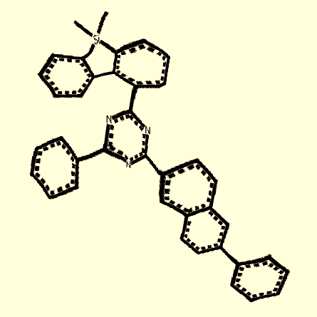 C[Si]1(C)c2ccccc2-c2c(-c3nc(-c4ccccc4)nc(-c4ccc5cc(-c6ccccc6)ccc5c4)n3)cccc21